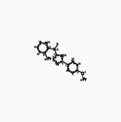 CC(C)Oc1ccc(-c2nsc(N(C)c3ncccc3C(C)C)n2)nc1